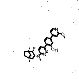 COc1cc(-c2ccc(-c3ccc(N(C)[C@H]4C[C@]5(C)CC[C@@](C)(C5)[C@H]4F)nn3)c(O)c2)ccn1